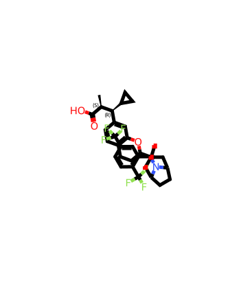 C[C@H](C(=O)O)[C@H](c1ccc2c(c1)OC(C1(C)CC3CCC(C1)N3[C@@H](C)c1cc(C(F)(F)F)ccc1C(F)(F)F)CC2)C1CC1